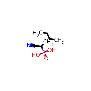 CC(C#N)P(=O)(O)O.CCCC